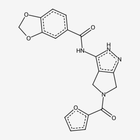 O=C(Nc1[nH]nc2c1CN(C(=O)c1ccco1)C2)c1ccc2c(c1)OCO2